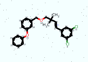 CC(C)(/C=C/c1cc(Cl)cc(Cl)c1)COCc1cccc(Oc2ccccc2)c1